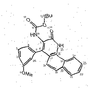 COc1cccc(-c2c(NC(=O)OC(C)(C)C)c(=O)[nH]c3c2ccc2ccccc23)c1